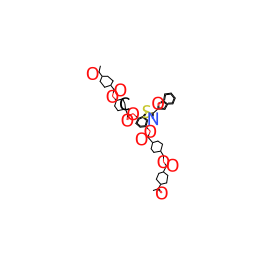 CC(=O)C1CCC(C(=O)OCC2CCC(C(=O)Oc3ccc(OC(=O)C4CCC(OC(=O)C5CCC(C(C)=O)CC5)CC4)c4sc(-c5cc6ccccc6o5)nc34)CC2)CC1